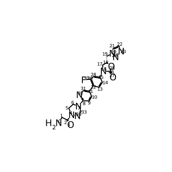 NCC(=O)N1CCN(c2ccc(-c3ccc(N4C[C@H](Cn5ccnn5)OC4=O)cc3F)cn2)C=N1